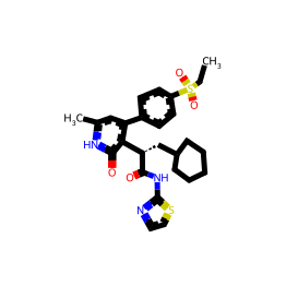 CCS(=O)(=O)c1ccc(-c2cc(C)[nH]c(=O)c2[C@H](CC2CCCCC2)C(=O)Nc2nccs2)cc1